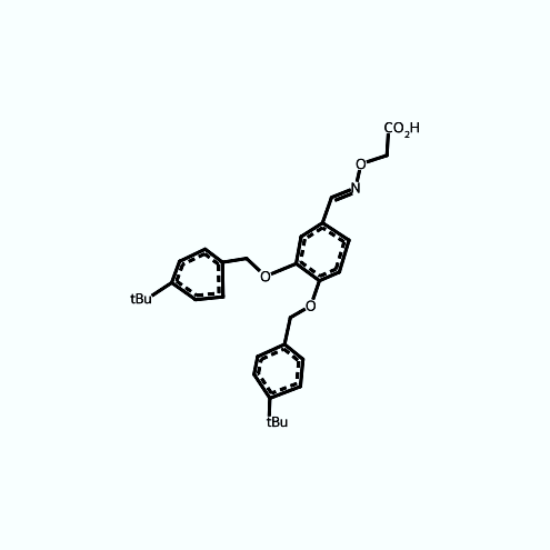 CC(C)(C)c1ccc(COc2ccc(C=NOCC(=O)O)cc2OCc2ccc(C(C)(C)C)cc2)cc1